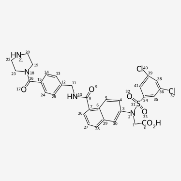 O=C(O)CN(c1ccc2c(C(=O)NCc3ccc(C(=O)N4CCNCC4)cc3)cccc2c1)S(=O)(=O)c1cc(Cl)cc(Cl)c1